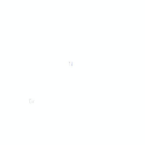 Cc1cc(Br)cc(N(c2ccccc2)c2ccccc2)c1